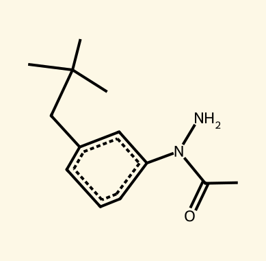 CC(=O)N(N)c1cccc(CC(C)(C)C)c1